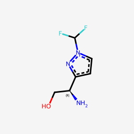 N[C@@H](CO)c1ccn(C(F)F)n1